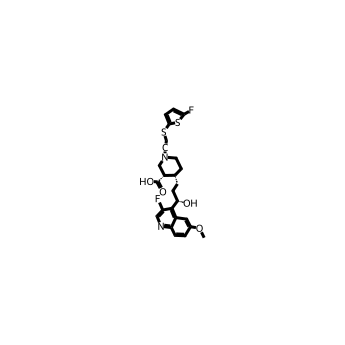 COc1ccc2ncc(F)c([C@@H](O)CC[C@H]3CCN(CCSc4ccc(F)s4)C[C@H]3C(=O)O)c2c1